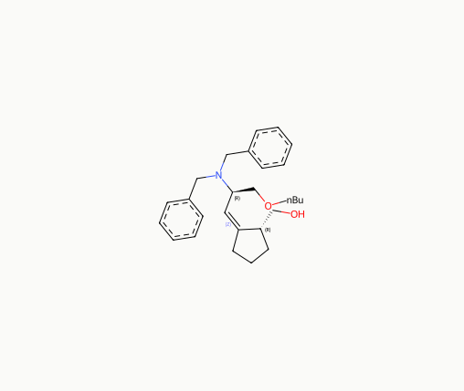 CCCCOC[C@@H](/C=C1/CCC[C@H]1CO)N(Cc1ccccc1)Cc1ccccc1